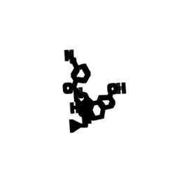 N#Cc1cccc(C(=O)N2C[C@H]3OC45CCC2C3C42CCN(CC3CC3)C5Cc3ccc(O)cc32)c1